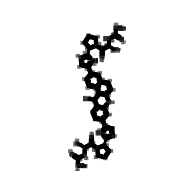 CCC1c2ccc(-c3cnc([C@@H]4CCCN4C(=O)[C@@H](OC(=O)NC)C(C)C)[nH]3)cc2Oc2ccc3cc(-c4cnc([C@@H]5CCCN5C(=O)[C@@H](NC(=O)OC)C(C)C)[nH]4)ccc3c21